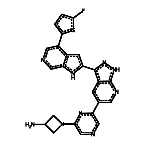 NC1CN(c2cncc(-c3cnc4[nH]nc(-c5cc6c(-c7ccc(F)s7)cncc6[nH]5)c4c3)n2)C1